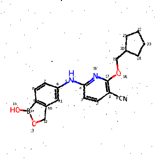 N#Cc1ccc(Nc2ccc3c(c2)COB3O)nc1OCC1CCCC1